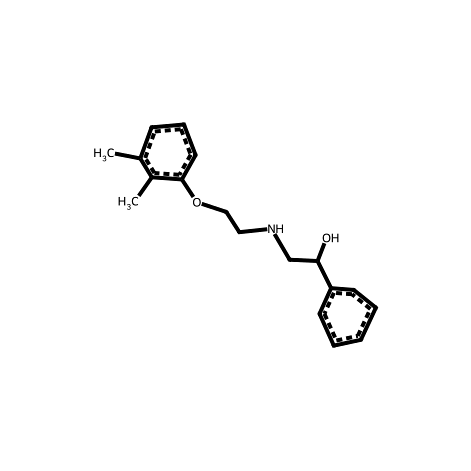 Cc1cccc(OCCNCC(O)c2ccccc2)c1C